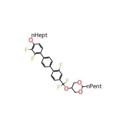 CCCCCCCOc1ccc(-c2ccc(-c3ccc(C(F)(F)OC4COC(CCCCC)OC4)cc3F)cc2)c(F)c1F